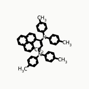 C=c1ccc2cccc3ccc(/C(=C\CN(c4ccc(C)cc4)c4ccc(C)cc4)N(c4ccc(C)cc4)c4ccc(C)cc4)c1c32